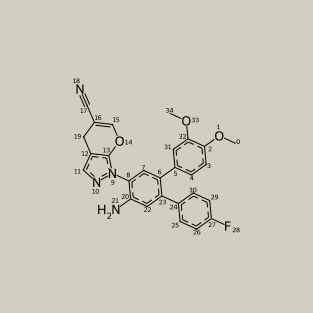 COc1ccc(-c2cc(-n3ncc4c3OC=C(C#N)C4)c(N)cc2-c2ccc(F)cc2)cc1OC